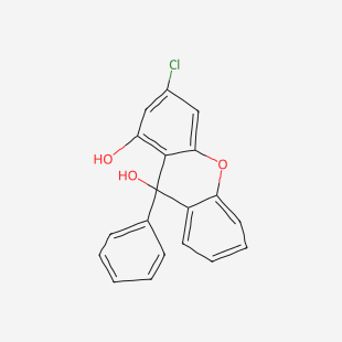 Oc1cc(Cl)cc2c1C(O)(c1ccccc1)c1ccccc1O2